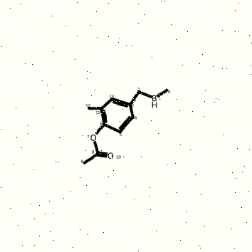 CBCc1ccc(OC(C)=O)c(C)c1